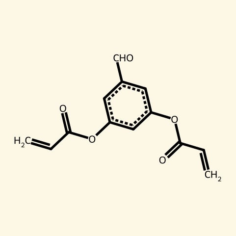 C=CC(=O)Oc1cc(C=O)cc(OC(=O)C=C)c1